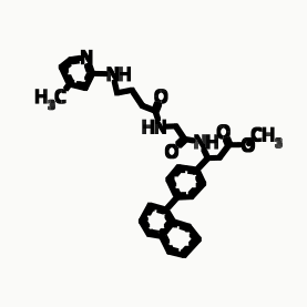 COC(=O)CC(NC(=O)CNC(=O)CCCNc1cc(C)ccn1)c1ccc(-c2cccc3ccccc23)cc1